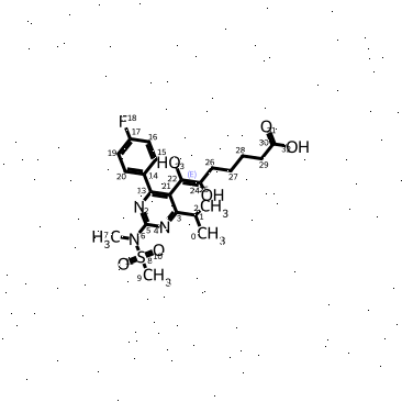 CC(C)c1nc(N(C)S(C)(=O)=O)nc(-c2ccc(F)cc2)c1/C(O)=C(\O)CCCCC(=O)O